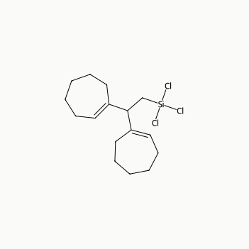 Cl[Si](Cl)(Cl)CC(C1=CCCCCC1)C1=CCCCCC1